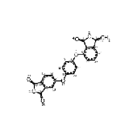 C=C1OC(=O)c2c(Oc3ccc(Oc4ccc5c(c4)C(=O)OC5=O)cc3)cccc21